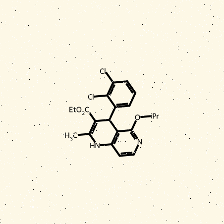 CCOC(=O)C1=C(C)Nc2ccnc(OC(C)C)c2C1c1cccc(Cl)c1Cl